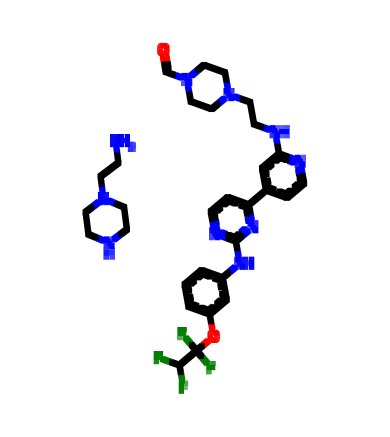 NCCN1CCNCC1.O=CN1CCN(CCNc2cc(-c3ccnc(Nc4cccc(OC(F)(F)C(F)F)c4)n3)ccn2)CC1